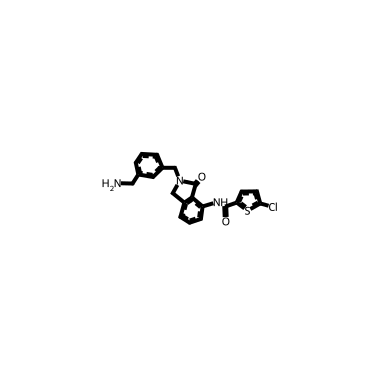 NCc1cccc(CN2Cc3cccc(NC(=O)c4ccc(Cl)s4)c3C2=O)c1